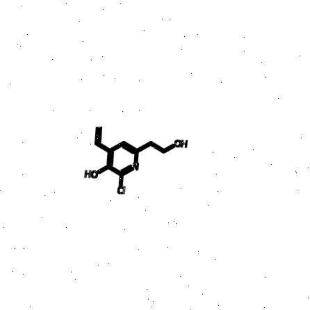 C=Cc1cc(CCO)nc(Cl)c1O